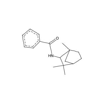 CC12CCC(C1)C(C)(C)C2NC(=O)c1ccccc1